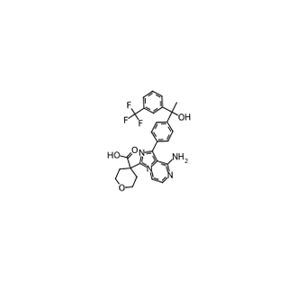 CC(O)(c1ccc(-c2nc(C3(C(=O)O)CCOCC3)n3ccnc(N)c23)cc1)c1cccc(C(F)(F)F)c1